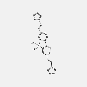 CCCC1(CCC)c2cc(/C=C/c3ccco3)ccc2-c2ccc(/C=C/c3ccco3)cc21